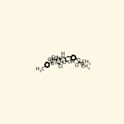 Cc1ccc(S(=O)(=O)N(C)c2nc(Cl)nc(N[C@@H](Cc3ccc(OC(=O)N(C)C)cc3)C(=O)O)n2)cc1